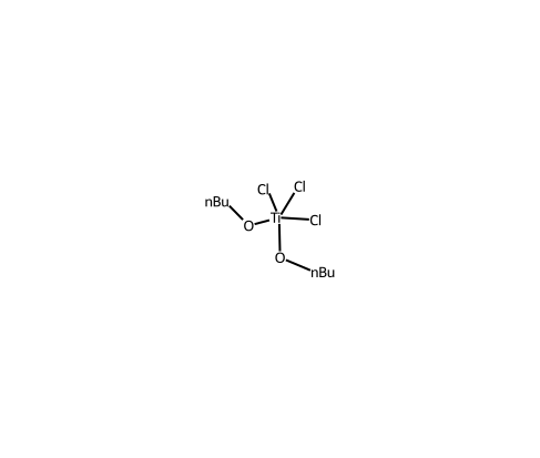 CCCC[O][Ti]([Cl])([Cl])([Cl])[O]CCCC